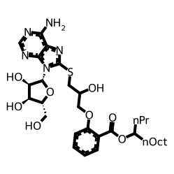 CCCCCCCCC(CCC)OC(=O)c1ccccc1OCC(O)CSc1nc2c(N)ncnc2n1[C@@H]1O[C@H](CO)[C@@H](O)[C@H]1O